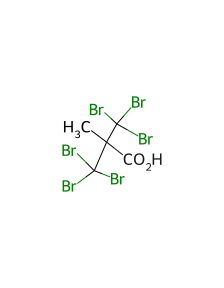 CC(C(=O)O)(C(Br)(Br)Br)C(Br)(Br)Br